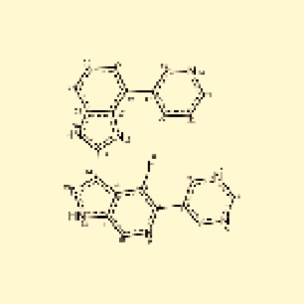 Fc1c(-c2cncnc2)ncc2[nH]nc(-c3nc4c(-c5cccnc5)cccc4[nH]3)c12